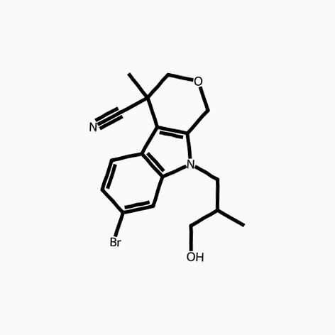 CC(CO)Cn1c2c(c3ccc(Br)cc31)C(C)(C#N)COC2